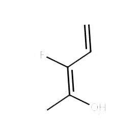 C=C/C(F)=C(/C)O